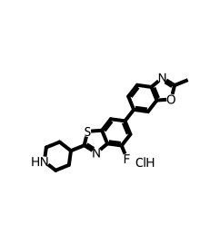 Cc1nc2ccc(-c3cc(F)c4nc(C5CCNCC5)sc4c3)cc2o1.Cl